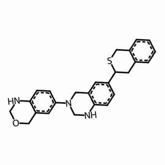 c1ccc2c(c1)CSC(c1ccc3c(c1)CN(c1ccc4c(c1)COCN4)CN3)C2